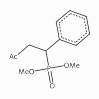 COP(=O)(OC)C(CC(C)=O)c1ccccc1